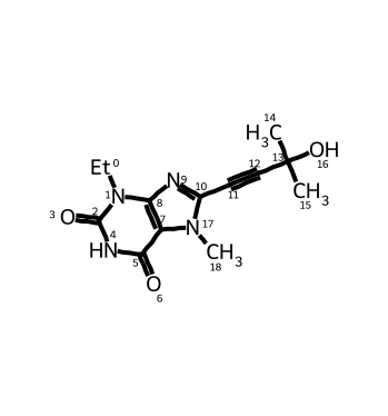 CCn1c(=O)[nH]c(=O)c2c1nc(C#CC(C)(C)O)n2C